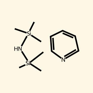 C[Si](C)(C)N[Si](C)(C)C.c1ccncc1